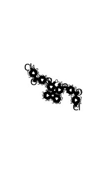 Cc1cc(C2(c3ccc(Oc4ccc(C(=O)c5ccc(Cl)cc5)cc4)c(C)c3)c3ccccc3-c3ccccc32)ccc1Oc1ccc(C(=O)c2ccc(Cl)cc2)cc1